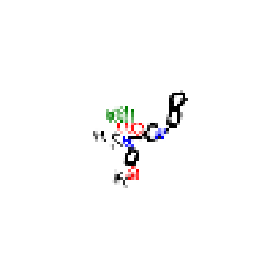 CC(C)Oc1ccc(N(C)CCC2(O)CCN(Cc3ccc4ccccc4c3)CC2)cc1.Cl.Cl